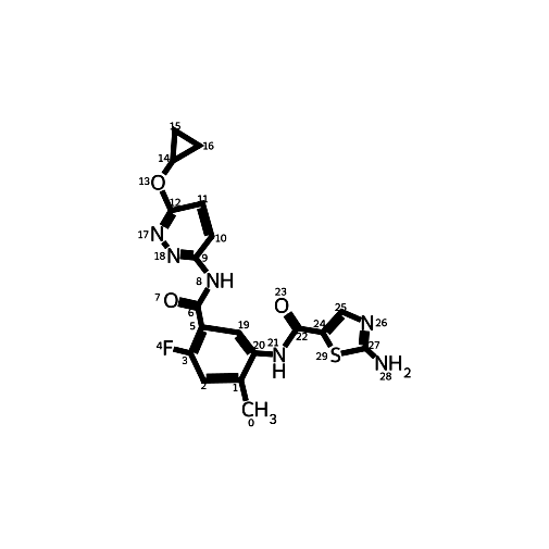 Cc1cc(F)c(C(=O)Nc2ccc(OC3CC3)nn2)cc1NC(=O)c1cnc(N)s1